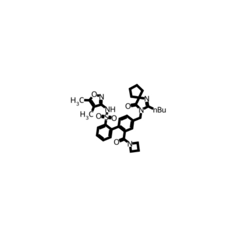 CCCCC1=NC2(CCCC2)C(=O)N1Cc1ccc(-c2ccccc2S(=O)(=O)Nc2noc(C)c2C)c(C(=O)N2CCC2)c1